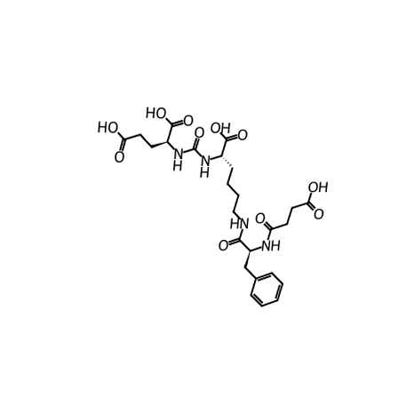 O=C(O)CCC(=O)N[C@@H](Cc1ccccc1)C(=O)NCCCC[C@H](NC(=O)N[C@@H](CCC(=O)O)C(=O)O)C(=O)O